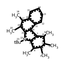 Cc1c(C)c(C)c2c(c1C)c1c3ccccc3c(C)c(C)c1n2C(C)(C)C